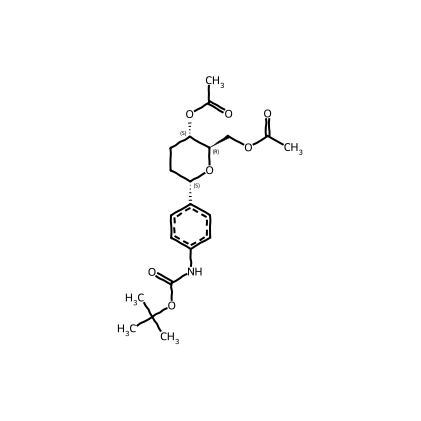 CC(=O)OC[C@H]1O[C@H](c2ccc(NC(=O)OC(C)(C)C)cc2)CC[C@@H]1OC(C)=O